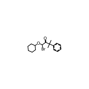 CC(C)(C(=O)C(Br)OC1CCCCC1)c1ccccc1